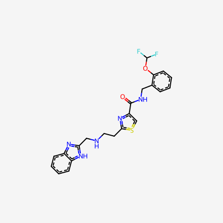 O=C(NCc1ccccc1OC(F)F)c1csc(CCNCc2nc3ccccc3[nH]2)n1